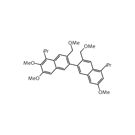 COCc1cc2c(C(C)C)cc(OC)cc2cc1-c1cc2cc(OC)c(OC)c(C(C)C)c2cc1COC